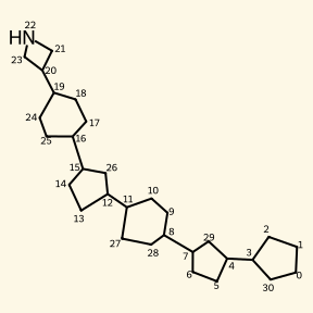 C1CCC(C2CCC(C3CCC(C4CCC(C5CCC(C6CNC6)CC5)C4)CC3)C2)C1